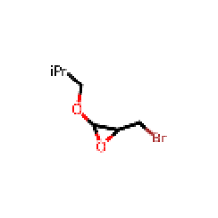 CC(C)COC1OC1CBr